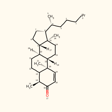 CC(C)CCC[C@@H](C)[C@H]1CC[C@H]2[C@@H]3CCC4[C@H](C)C(=O)C=C[C@]4(C)[C@H]3CC[C@]12C